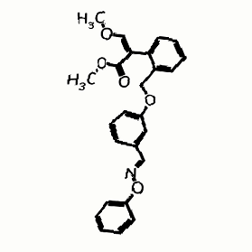 CO/C=C(\C(=O)OC)c1ccccc1COc1cccc(/C=N/Oc2ccccc2)c1